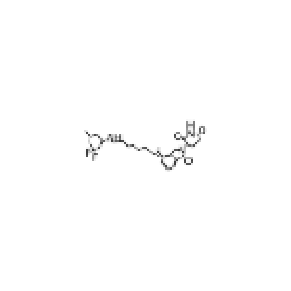 CC1CC(NCCCCCCCSc2cccc3c2CN(C2CCC(=O)NC2=O)C3=O)CC(F)(F)C1